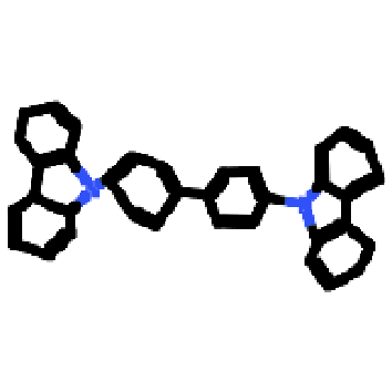 C1=CC2C3=C(C=CCC3)N(c3ccc(-c4ccc(-n5c6c(c7ccccc75)CCC=C6)cc4)cc3)C2C=C1